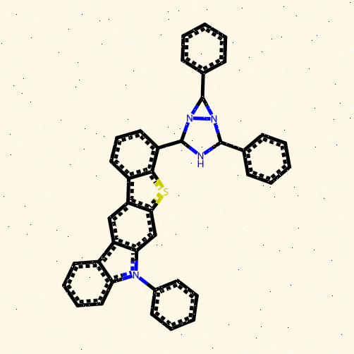 c1ccc(C2NC(c3cccc4c3sc3cc5c(cc34)c3ccccc3n5-c3ccccc3)N3C(c4ccccc4)N23)cc1